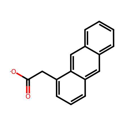 [O]C(=O)Cc1cccc2cc3ccccc3cc12